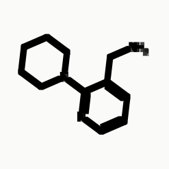 NCc1cccnc1N1CCCCC1